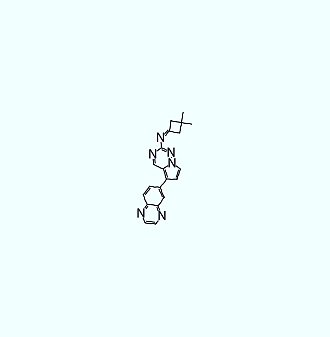 CC1(C)CC(=Nc2ncc3c(-c4ccc5nccnc5c4)ccn3n2)C1